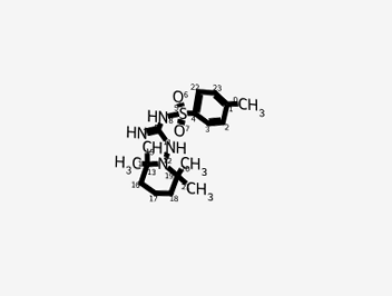 Cc1ccc(S(=O)(=O)NC(=N)NN2C(C)(C)CCCC2(C)C)cc1